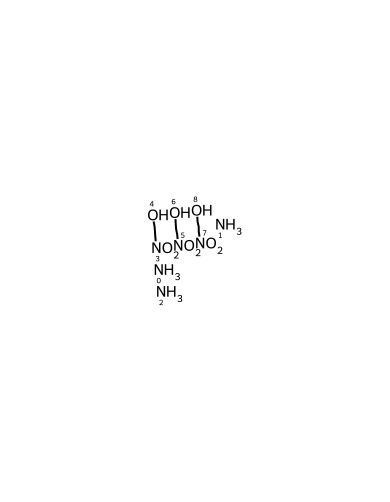 N.N.N.O=[N+]([O-])O.O=[N+]([O-])O.O=[N+]([O-])O